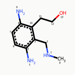 CNCc1c(N)ccc(N)c1CCO